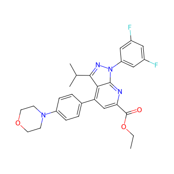 CCOC(=O)c1cc(-c2ccc(N3CCOCC3)cc2)c2c(C(C)C)nn(-c3cc(F)cc(F)c3)c2n1